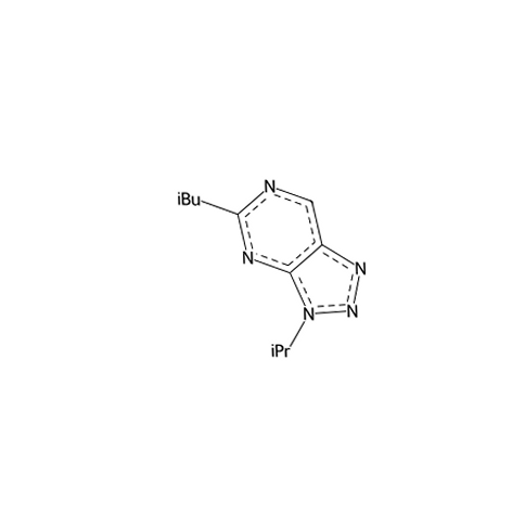 CCC(C)c1ncc2nnn(C(C)C)c2n1